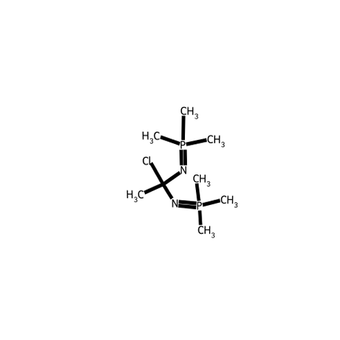 CC(Cl)(N=P(C)(C)C)N=P(C)(C)C